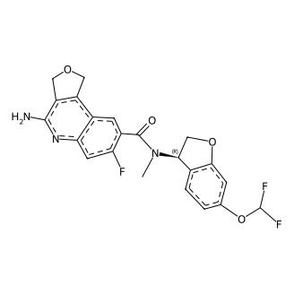 CN(C(=O)c1cc2c3c(c(N)nc2cc1F)COC3)[C@H]1COc2cc(OC(F)F)ccc21